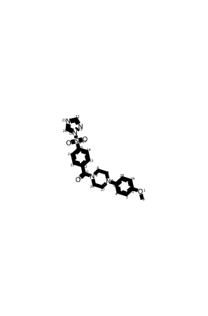 COc1ccc(N2CCN(C(=O)c3ccc(S(=O)(=O)n4cncn4)cc3)CC2)cc1